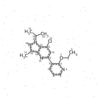 CCOc1ncccc1-c1cc(Cl)c2c(n1)c(C)nn2C(C)C